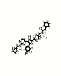 CC1(CNC(=O)Cc2ccccc2)COC(c2nc(-c3ccc(F)cc3)c(-c3ccnc(NCC4CCCO4)n3)[nH]2)OC1